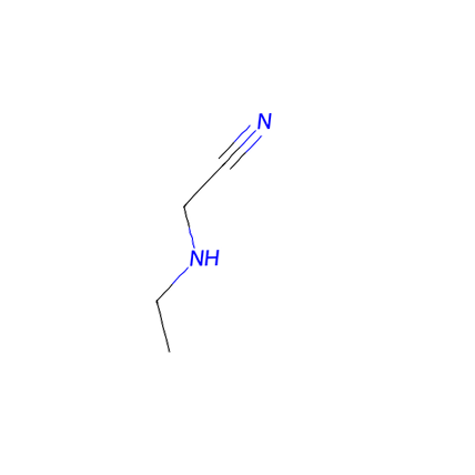 CCNCC#N